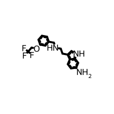 Nc1ccc2c(CCNCc3cccc(OCC(F)(F)F)c3)c[nH]c2c1